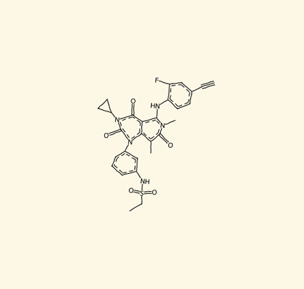 C#Cc1ccc(Nc2c3c(=O)n(C4CC4)c(=O)n(-c4cccc(NS(=O)(=O)CC)c4)c3c(C)c(=O)n2C)c(F)c1